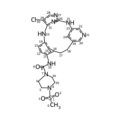 CS(=O)(=O)N1CCN(C(=O)Nc2ccc3cc2CCc2cncc(c2)Nc2ncc(Cl)c(n2)N3)CC1